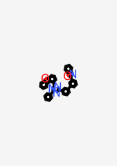 c1ccc(-c2nc(-c3cccc(-c4cccc(-c5nc6ccccc6o5)c4)c3)nc(-c3cccc4oc5ccccc5c34)n2)cc1